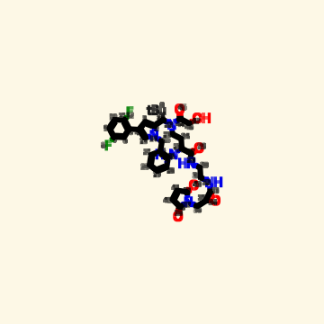 CC(C)(C)[C@H](c1cc(-c2cc(F)ccc2F)cn1Cc1ccccc1)N(CC[C@H](N)C(=O)NCCNC1OC1CN1C(=O)C=CC1=O)C(=O)CO